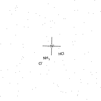 C[N+](C)(C)C.Cl.N.[Cl-]